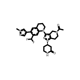 CC(=O)N1CCc2c(c(N3CCCc4cc(-c5cnn(C)c5)c(C(F)F)cc43)nn2[C@@H]2CCNC(=O)C2)C1